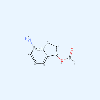 CC(=O)OC1CCc2c(N)cccc21